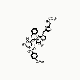 COc1ccc(S(=O)(=O)N(CC(C)C)C[C@H](O)[C@H](Cc2ccccc2)NC(=O)[C@H](C(C)C)N2CCN(Cc3csc(CNC(=O)O)n3)C2=O)cc1